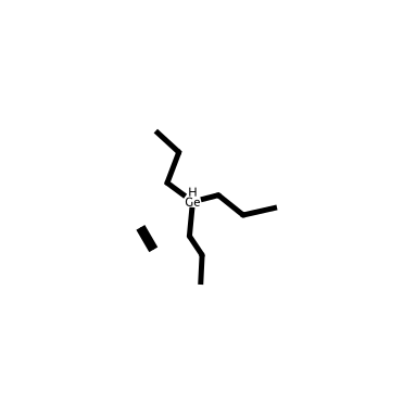 C=C.CC[CH2][GeH]([CH2]CC)[CH2]CC